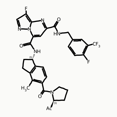 CC(=O)[C@@H]1CCCN1C(=O)c1ccc2c(c1C)CC[C@@H]2NC(=O)c1cc(C(=O)NCc2ccc(F)c(C(F)(F)F)c2)nc2c(F)cnn12